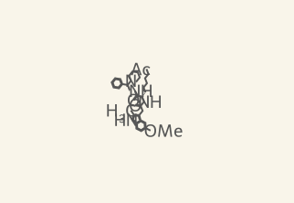 COc1ccc2[nH]c(C)c(CC(=O)N[C@@H](CCCCCC(C)=O)C(=O)NCC(c3ccccc3)N3CCCCC3)c2c1